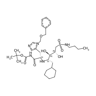 CCCCNS(=O)(=O)C[C@H](O)[C@H](O)[C@H](CC1CCCCC1)N[C@@H](Cc1cncn1COCc1ccccc1)C(=O)NC(=O)OC(C)(C)C